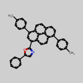 Cc1ccc(-c2ccc3ccc4c(-c5ccc(C)cc5)cc(-c5ncc(-c6ccccc6)o5)c5ccc2c3c45)cc1